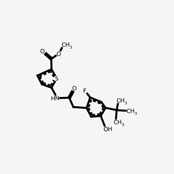 COC(=O)c1ccc(NC(=O)Cc2cc(O)c(C(C)(C)C)cc2F)s1